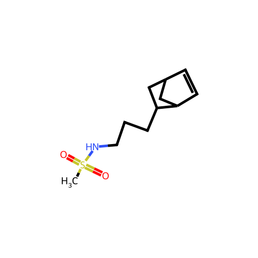 CS(=O)(=O)NCCCC1CC2C=CC1C2